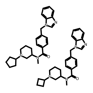 CN(C(=O)c1ccc(Cn2cnc3ccccc32)cc1)C1CCCN(C2CCC2)C1.CN(C(=O)c1ccc(Cn2cnc3ccccc32)cc1)C1CCCN(C2CCCC2)C1